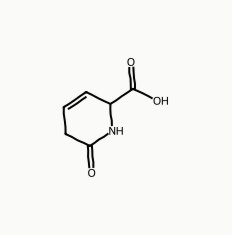 O=C1CC=CC(C(=O)O)N1